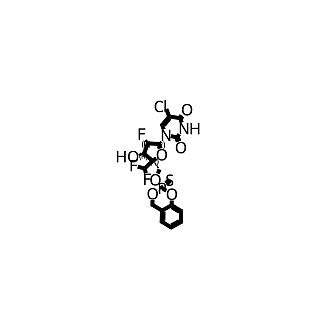 O=c1[nH]c(=O)n([C@@H]2O[C@@](COP3(=S)OCc4ccccc4O3)(C(F)F)[C@@H](O)[C@H]2F)cc1Cl